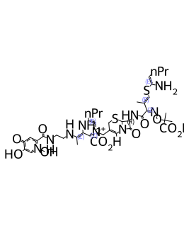 CCC/C=C/[N+](=C\C(N)=C(/C)NCCNC(=O)c1cc(=O)c(O)cn1O)CC1=C(C(=O)O)N2C(=O)[C@@H](NC(=O)C(=N\OC(C)(C)C(=O)O)/C(C)=C/S/C(N)=C/CCC)C2SC1